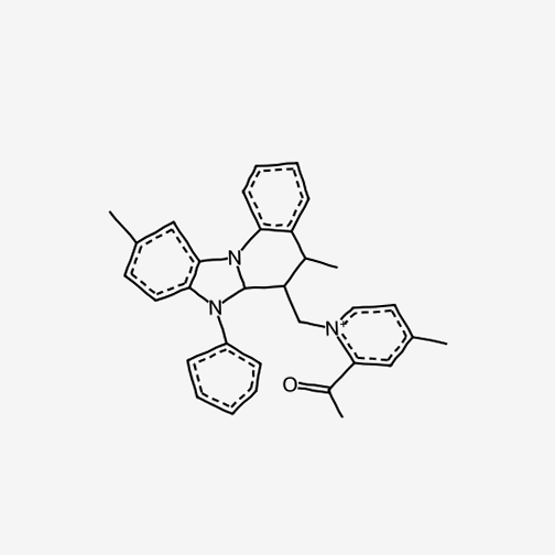 CC(=O)c1cc(C)cc[n+]1CC1C(C)c2ccccc2N2c3cc(C)ccc3N(c3ccccc3)C12